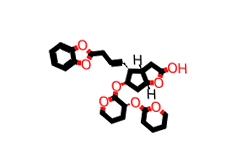 OC1C[C@@H]2[C@@H](/C=C/CC3Oc4ccccc4O3)[C@H](OC3OCCC[C@H]3OC3CCCCO3)C[C@@H]2O1